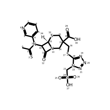 CC(=S)N(c1cccnc1)C1C(=O)N2CC(CSc3nnnn3CS(=O)(=O)O)(C(=O)O)CS[C@H]12